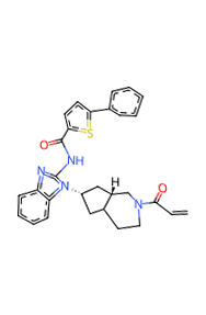 C=CC(=O)N1CCC2C[C@H](n3c(NC(=O)c4ccc(-c5ccccc5)s4)nc4ccccc43)C[C@@H]2C1